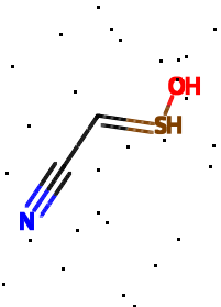 N#CC=[SH]O